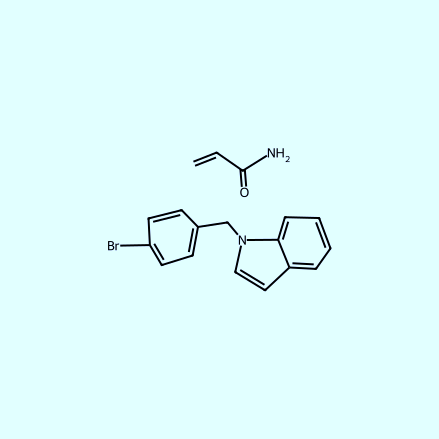 Brc1ccc(Cn2ccc3ccccc32)cc1.C=CC(N)=O